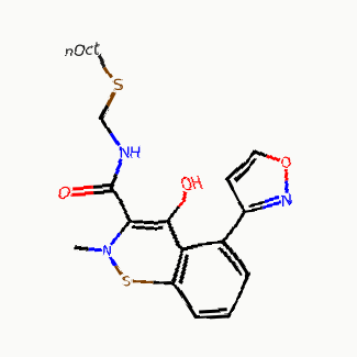 CCCCCCCCSCNC(=O)C1=C(O)c2c(cccc2-c2ccon2)SN1C